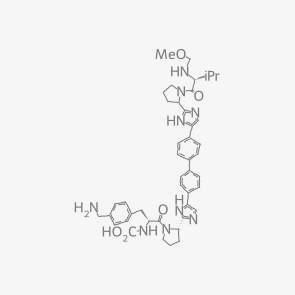 COCN[C@H](C(=O)N1CCCC1c1ncc(-c2ccc(-c3ccc(-c4cnc([C@@H]5CCCN5C(=O)[C@H](Cc5ccc(CN)cc5)NC(=O)O)[nH]4)cc3)cc2)[nH]1)C(C)C